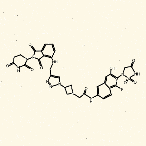 O=C1CCC(N2C(=O)c3cccc(NCc4cn(C5CN(CC(=O)Nc6ccc7c(F)c(N8CC(=O)NS8(=O)=O)c(O)cc7c6)C5)nn4)c3C2=O)C(=O)N1